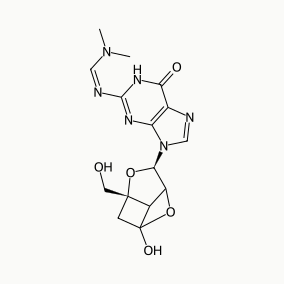 CN(C)/C=N\c1nc2c(ncn2[C@@H]2O[C@@]3(CO)CC4(O)OC2C43)c(=O)[nH]1